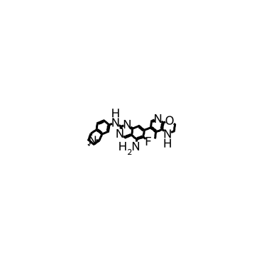 Cc1c(-c2cc3nc(Nc4ccc5c(c4)C4CCC5N4C)ncc3c(N)c2F)cnc2c1NCCO2